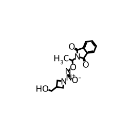 CC(ON=[N+]([O-])N1CC(CO)C1)N1C(=O)c2ccccc2C1=O